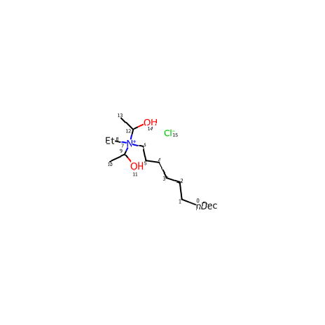 CCCCCCCCCCCCCCCC[N+](CC)(C(C)O)C(C)O.[Cl-]